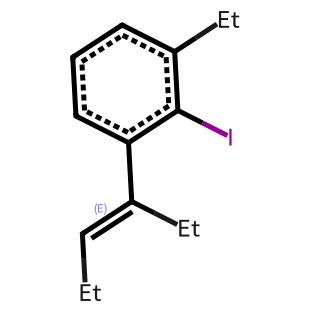 CC/C=C(\CC)c1cccc(CC)c1I